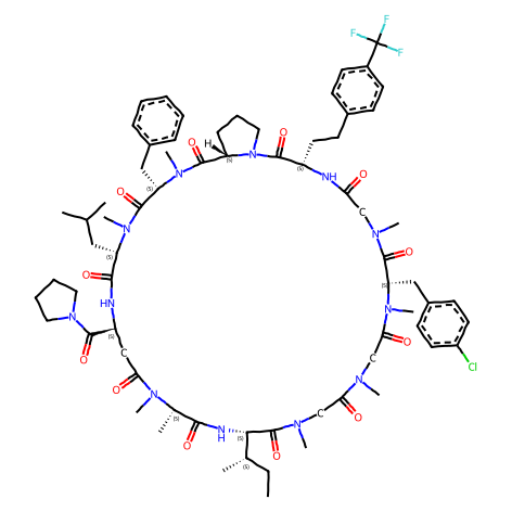 CC[C@H](C)[C@@H]1NC(=O)[C@H](C)N(C)C(=O)C[C@@H](C(=O)N2CCCC2)NC(=O)[C@H](CC(C)C)N(C)C(=O)[C@H](Cc2ccccc2)N(C)C(=O)[C@@H]2CCCN2C(=O)[C@H](CCc2ccc(C(F)(F)F)cc2)NC(=O)CN(C)C(=O)[C@H](Cc2ccc(Cl)cc2)N(C)C(=O)CN(C)C(=O)CN(C)C1=O